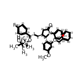 COc1ccc([C@@H]2[C@@H](CC[C@H](O[Si](C)(C)C(C)(C)C)c3ccc(F)cc3)CC(=O)N2c2ccccc2)c(OCc2ccccc2)c1